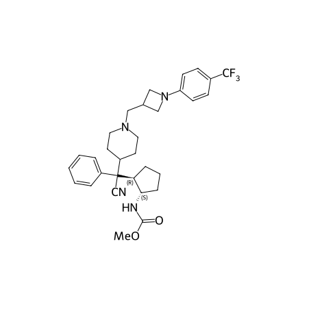 COC(=O)N[C@H]1CCC[C@@H]1C(C#N)(c1ccccc1)C1CCN(CC2CN(c3ccc(C(F)(F)F)cc3)C2)CC1